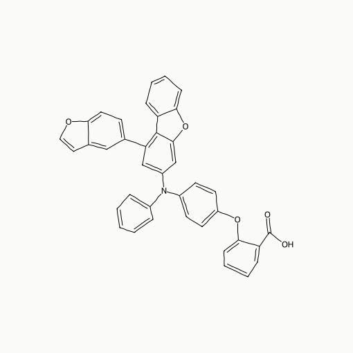 O=C(O)c1ccccc1Oc1ccc(N(c2ccccc2)c2cc(-c3ccc4occc4c3)c3c(c2)oc2ccccc23)cc1